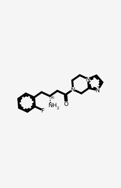 N[C@@H](CC(=O)N1CCn2ccnc2C1)Cc1ccccc1F